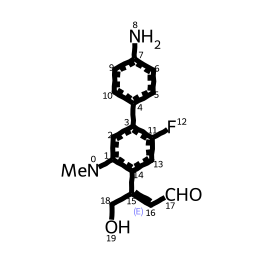 CNc1cc(-c2ccc(N)cc2)c(F)cc1/C(=C\C=O)CO